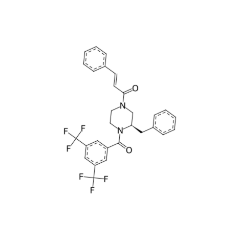 O=C(C=Cc1ccccc1)N1CCN(C(=O)c2cc(C(F)(F)F)cc(C(F)(F)F)c2)[C@H](Cc2ccccc2)C1